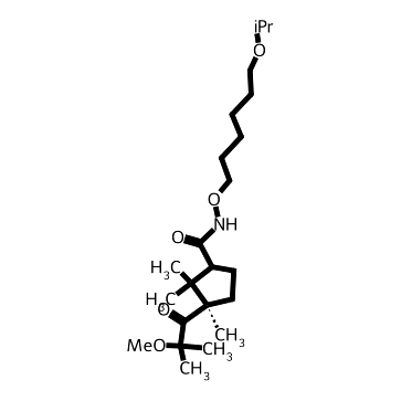 COC(C)(C)C(=O)[C@]1(C)CCC(C(=O)NOCCCCCCOC(C)C)C1(C)C